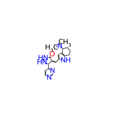 CN(C)C1CCCc2[nH]c(C=C3C(=O)NNC3c3ccncn3)cc21